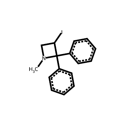 CN1CC(I)C1(c1ccccc1)c1ccccc1